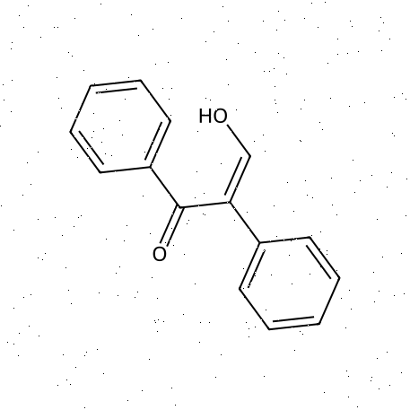 O=C(C(=CO)c1ccccc1)c1ccccc1